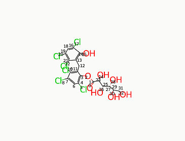 O=C(Oc1c(Cl)cc(Cl)c(Cl)c1Cc1c(O)c(Cl)cc(Cl)c1Cl)[C@H](O)[C@@H](O)[C@H](O)[C@H](O)CO